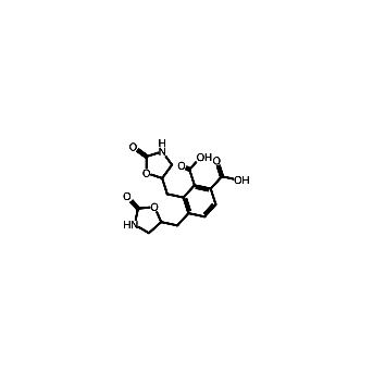 O=C1NCC(Cc2ccc(C(=O)O)c(C(=O)O)c2CC2CNC(=O)O2)O1